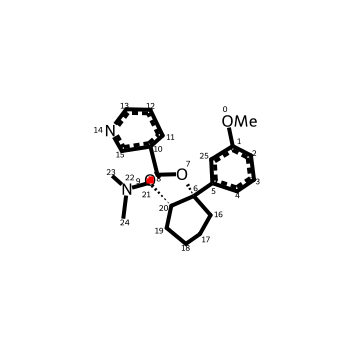 COc1cccc([C@@]2(OC(=O)c3cccnc3)CCCC[C@@H]2CN(C)C)c1